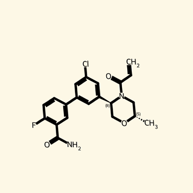 C=CC(=O)N1C[C@H](C)OC[C@H]1c1cc(Cl)cc(-c2ccc(F)c(C(N)=O)c2)c1